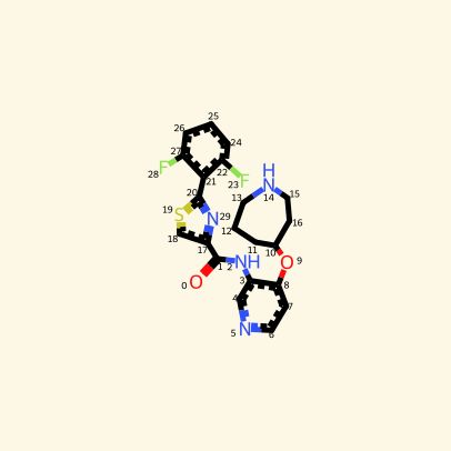 O=C(Nc1cnccc1OC1CCCNCC1)c1csc(-c2c(F)cccc2F)n1